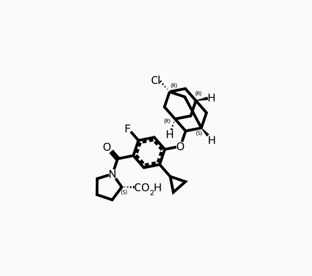 O=C(O)[C@@H]1CCCN1C(=O)c1cc(C2CC2)c(OC2[C@@H]3C[C@H]4C[C@H]2C[C@](Cl)(C4)C3)cc1F